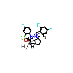 C=C1C(=O)N(c2ccc(F)cc2Cl)N(Cc2ccc(F)cc2F)[C@@]2(C)CC[C@@H]1C2(C)C